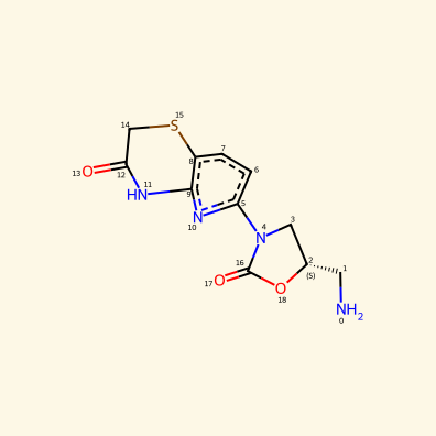 NC[C@H]1CN(c2ccc3c(n2)NC(=O)CS3)C(=O)O1